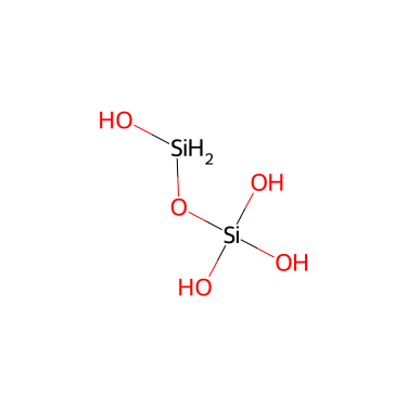 O[SiH2]O[Si](O)(O)O